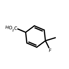 CC1(F)C=CC(C(=O)O)C=C1